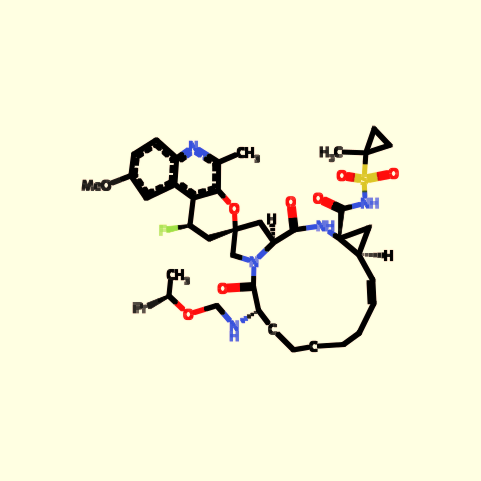 COc1ccc2nc(C)c3c(c2c1)[C@H](F)C[C@]1(C[C@H]2C(=O)N[C@]4(C(=O)NS(=O)(=O)C5(C)CC5)C[C@H]4/C=C\CCCCC[C@H](NCO[C@H](C)C(C)C)C(=O)N2C1)O3